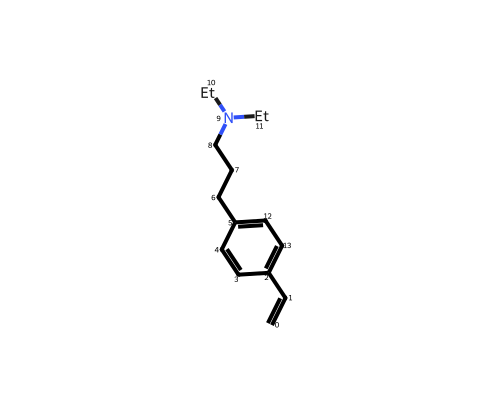 C=Cc1ccc(CCCN(CC)CC)cc1